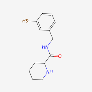 O=C(NCc1cccc(S)c1)C1CCCCN1